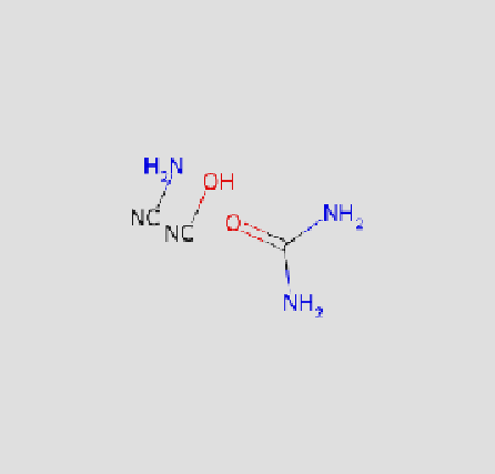 N#CN.N#CO.NC(N)=O